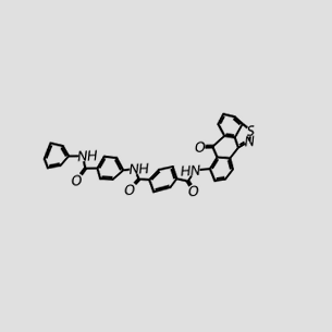 O=C(Nc1ccccc1)c1ccc(NC(=O)c2ccc(C(=O)Nc3cccc4c3C(=O)c3cccc5snc-4c35)cc2)cc1